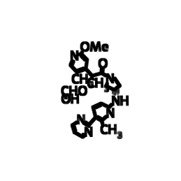 COc1cc(C(C)C(=O)N2CC[C@H](Nc3ccc(-c4ncccn4)c(C)n3)C2)c(C)cn1.O=CO